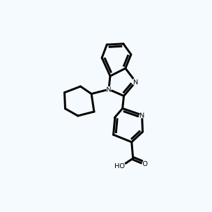 O=C(O)c1ccc(-c2nc3ccccc3n2C2CCCCC2)nc1